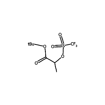 CC(OS(=O)(=O)C(F)(F)F)C(=O)OC(C)(C)C